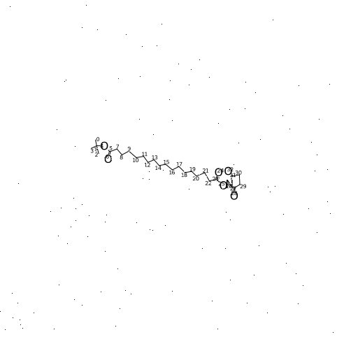 CC(C)(C)OC(=O)CCCCCCCCCCCCCCCCC(=O)ON1C(=O)CCC1=O